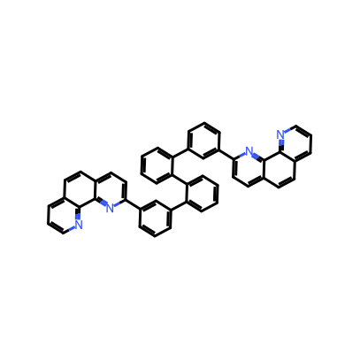 c1cc(-c2ccc3ccc4cccnc4c3n2)cc(-c2ccccc2-c2ccccc2-c2cccc(-c3ccc4ccc5cccnc5c4n3)c2)c1